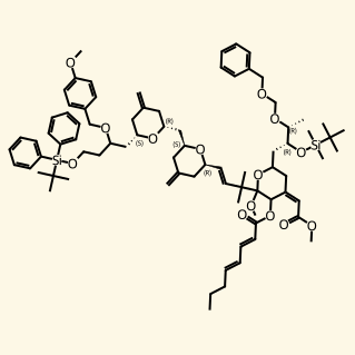 C=C1C[C@H](C[C@@H]2CC(=C)C[C@H](C=CC(C)(C)C3(OC)OC(C[C@@H](O[Si](C)(C)C(C)(C)C)[C@@H](C)OCOCc4ccccc4)CC(=CC(=O)OC)C3OC(=O)C=CC=CCCC)O2)O[C@H](CC(CCO[Si](c2ccccc2)(c2ccccc2)C(C)(C)C)OCc2ccc(OC)cc2)C1